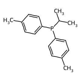 Cc1ccc(P(c2ccc(C)cc2)C(C)C)cc1